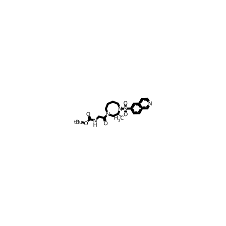 C[C@@H]1CN(C(=O)CNC(=O)OC(C)(C)C)CCCCN1S(=O)(=O)c1ccc2cnccc2c1